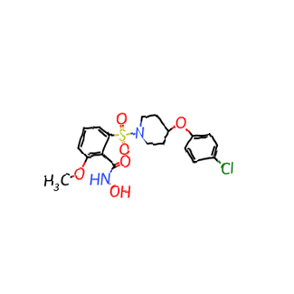 COc1cccc(S(=O)(=O)N2CCC(Oc3ccc(Cl)cc3)CC2)c1C(=O)NO